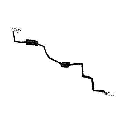 CCCCCCCCCCCCC#CCCC#CCC(=O)O